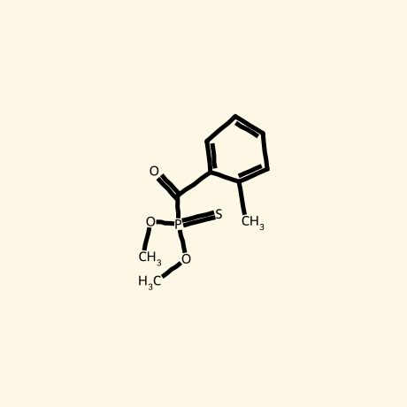 COP(=S)(OC)C(=O)c1ccccc1C